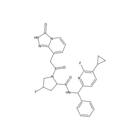 O=C(NC(c1ccccc1)c1ccc(C2CC2)c(F)n1)C1CC(F)CN1C(=O)Cc1cccn2c(=O)[nH]nc12